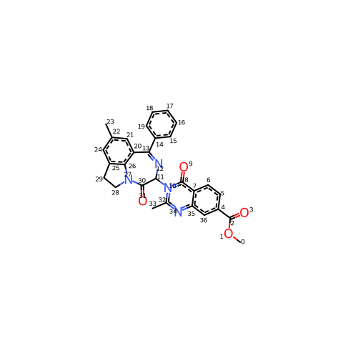 COC(=O)c1ccc2c(=O)n(C3N=C(c4ccccc4)c4cc(C)cc5c4N(CC5)C3=O)c(C)nc2c1